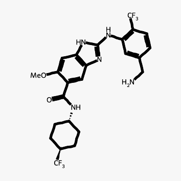 COc1cc2[nH]c(Nc3cc(CN)ccc3C(F)(F)F)nc2cc1C(=O)N[C@H]1CC[C@H](C(F)(F)F)CC1